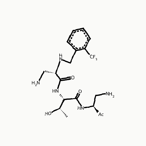 CC(=O)[C@H](CN)NC(=O)[C@@H](NC(=O)[C@H](CN)NCc1ccccc1C(F)(F)F)[C@H](C)O